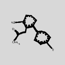 CC(=O)Cc1c(O)cccc1-c1ccc(F)cc1